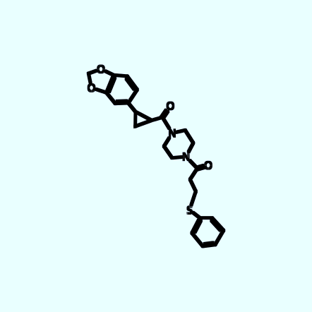 O=C(CCSc1ccccc1)N1CCN(C(=O)C2CC2c2ccc3c(c2)OCO3)CC1